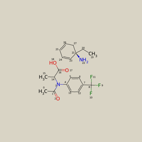 CC(=O)N(c1ccc(C(F)(F)F)cc1)C(C)C(=O)O.CC[C@]1(N)C=CC=CC1